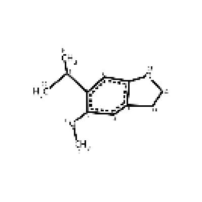 COc1cc2c(cc1C(C)C)OCC2